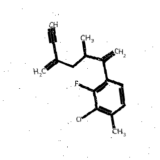 C#CC(=C)CC(C)C(=C)c1ccc(C)c(Cl)c1F